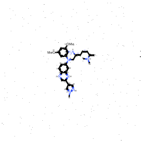 C=C(/C=C\C=C(/N)CN(c1cc(OC)cc(OC)c1)c1ccc2ncc(-c3cnn(C)c3)nc2c1)N(C)C